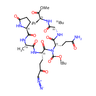 CC[C@H](C)[C@H](NC(=O)[C@H](CCC(N)=O)N(C(=O)OC(C)(C)C)C(=O)[C@H](CCC(=O)C=[N+]=[N-])NC(=O)[C@H](C)NC(=O)[C@@H]1CCC(=O)N1)C(=O)N[C@H](C(=O)OC)C(C)C